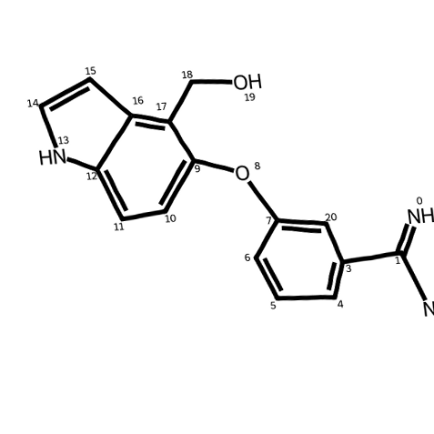 N=C(N)c1cccc(Oc2ccc3[nH]ccc3c2CO)c1